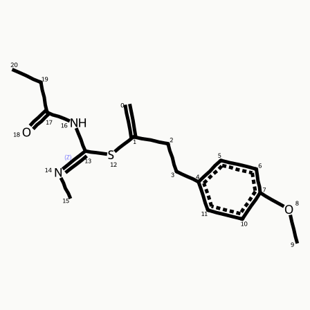 C=C(CCc1ccc(OC)cc1)S/C(=N\C)NC(=O)CC